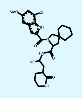 COc1cc(Cl)c2[nH]c(C(=O)N3CC4(CCCCC4)CC3C(=O)NC(C#N)CC3CCCNC3=O)cc2c1